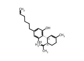 C=CCCCCc1cc(O)c([C@@H]2C=C(C)CC[C@H]2C(=C)C)c(O)c1